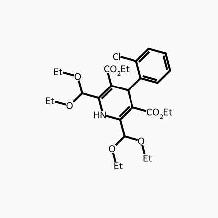 CCOC(=O)C1=C(C(OCC)OCC)NC(C(OCC)OCC)=C(C(=O)OCC)C1c1ccccc1Cl